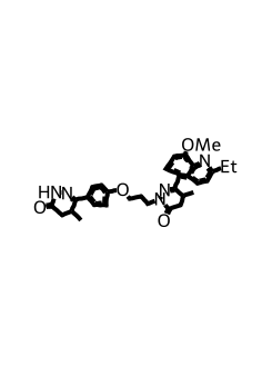 CCc1ccc2c(C3=NN(CCCOc4ccc(C5=NNC(=O)CC5C)cc4)C(=O)CC3C)ccc(OC)c2n1